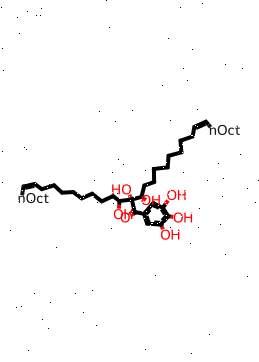 CCCCCCCC/C=C\CCCCCCCCC(O)C(O)(C(=O)c1cc(O)c(O)c(O)c1)C(O)CCCCCCCC/C=C\CCCCCCCC